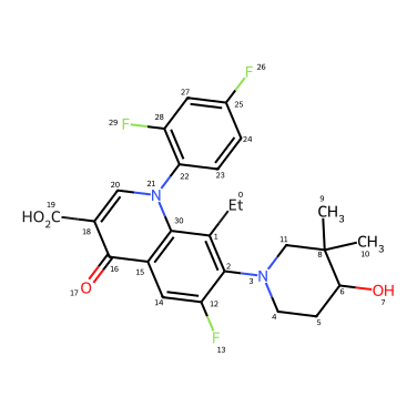 CCc1c(N2CCC(O)C(C)(C)C2)c(F)cc2c(=O)c(C(=O)O)cn(-c3ccc(F)cc3F)c12